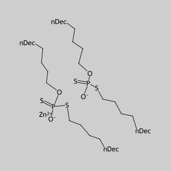 CCCCCCCCCCCCCCOP([O-])(=S)SCCCCCCCCCCCCCC.CCCCCCCCCCCCCCOP([O-])(=S)SCCCCCCCCCCCCCC.[Zn+2]